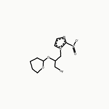 O=[N+]([O-])c1nccn1CC(C[18F])OC1CCCCO1